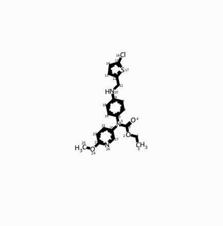 CCOC(=O)N(c1ccc(NCc2ccc(Cl)s2)cc1)c1ccc(OC)nc1